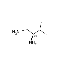 CC(C)[C@@H](N)CN